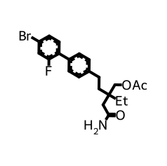 CCC(CCc1ccc(-c2ccc(Br)cc2F)cc1)(COC(C)=O)CC(N)=O